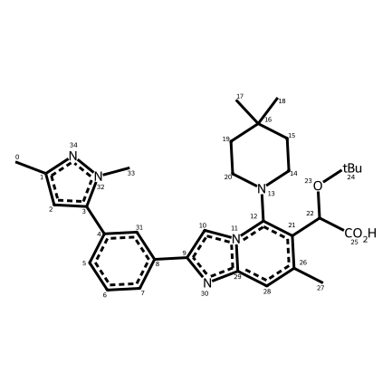 Cc1cc(-c2cccc(-c3cn4c(N5CCC(C)(C)CC5)c(C(OC(C)(C)C)C(=O)O)c(C)cc4n3)c2)n(C)n1